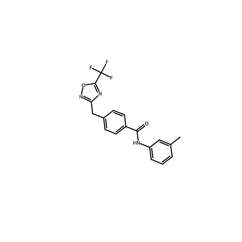 Cc1cccc(NC(=O)c2ccc(Cc3noc(C(F)(F)F)n3)cc2)c1